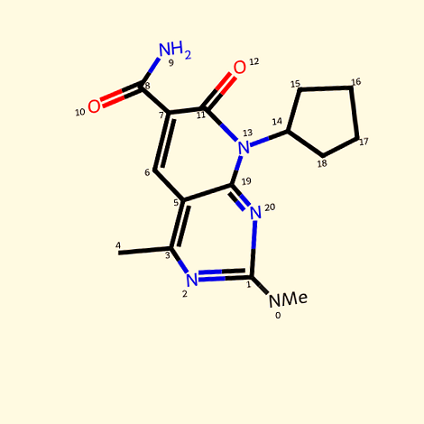 CNc1nc(C)c2cc(C(N)=O)c(=O)n(C3CCCC3)c2n1